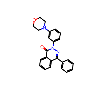 O=c1c2ccccc2c(-c2ccccc2)nn1-c1cccc(N2CCOCC2)c1